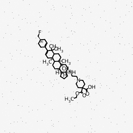 CCOC(=O)C1(C(=O)O)CCN(CCN[C@]23CCC[C@@H]2[C@H]2CCC4[C@@]5(C)CC=C(C6=CC[C@H](CF)CC6)C(C)(C)C5CC[C@@]4(C)[C@]2(C)CC3)CC1